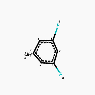 Fc1[c]ccc(F)c1.[LiH]